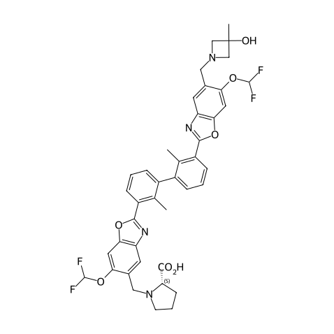 Cc1c(-c2nc3cc(CN4CC(C)(O)C4)c(OC(F)F)cc3o2)cccc1-c1cccc(-c2nc3cc(CN4CCC[C@H]4C(=O)O)c(OC(F)F)cc3o2)c1C